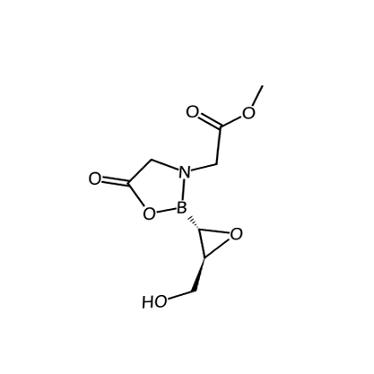 COC(=O)CN1CC(=O)OB1[C@@H]1O[C@H]1CO